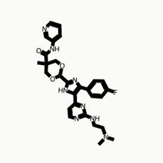 CN(C)CCNc1nccc(-c2[nH]c(C3OCC(C)(C(=O)Nc4cccnc4)CO3)nc2-c2ccc(F)cc2)n1